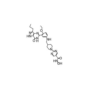 CCCc1n[nH]c2c(=O)[nH]c(-c3cc(NCC4CCN(c5ncc(C(=O)NO)cn5)CC4)ccc3OCC)nc12